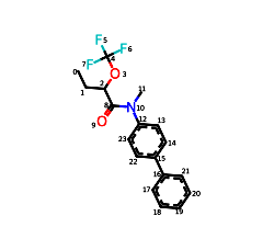 CCC(OC(F)(F)F)C(=O)N(C)c1ccc(-c2ccccc2)cc1